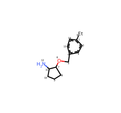 CCc1ccc(COC2CCCC2N)cc1